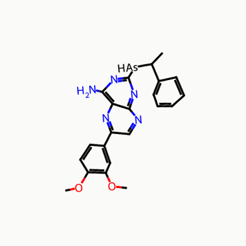 COc1ccc(-c2cnc3nc([AsH]C(C)c4ccccc4)nc(N)c3n2)cc1OC